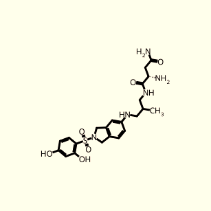 CC(CNC(=O)[C@@H](N)CC(N)=O)CNc1ccc2c(c1)CN(S(=O)(=O)c1ccc(O)cc1O)C2